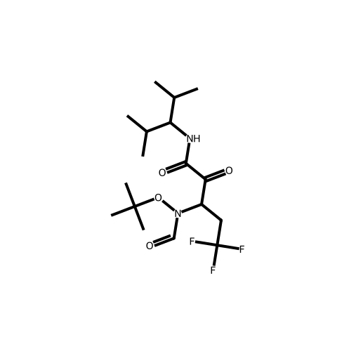 CC(C)C(NC(=O)C(=O)C(CC(F)(F)F)N(C=O)OC(C)(C)C)C(C)C